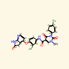 CC(C)n1cc(C(=O)Nc2ccc(Oc3ccnc4c3CC(=O)N4)c(F)c2)c(=O)n(-c2ccc(F)cc2)c1=O